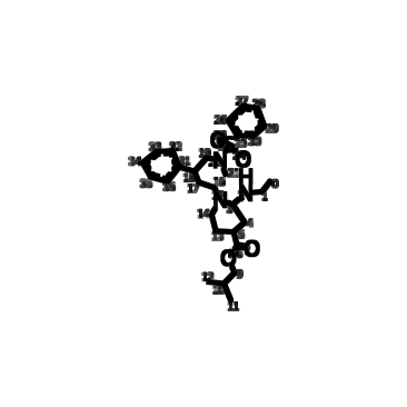 CCNC1CC(C(=O)OCC(C)C)CCN1CCC(CN(C)S(=O)(=O)c1ccccc1)c1ccccc1